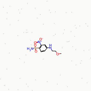 COCCNc1ccc(S(N)(=O)=O)c([N+](=O)[O-])c1